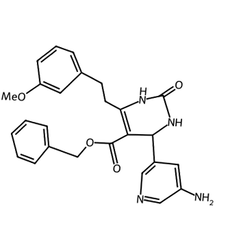 COc1cccc(CCC2=C(C(=O)OCc3ccccc3)C(c3cncc(N)c3)NC(=O)N2)c1